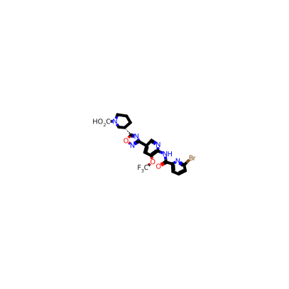 O=C(Nc1ncc(-c2noc([C@H]3CCCN(C(=O)O)C3)n2)cc1OC(F)(F)F)c1cccc(Br)n1